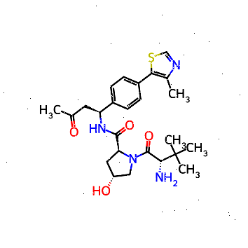 CC(=O)C[C@H](NC(=O)[C@@H]1C[C@@H](O)CN1C(=O)[C@@H](N)C(C)(C)C)c1ccc(-c2scnc2C)cc1